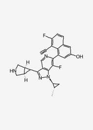 C#Cc1c(F)ccc2cc(O)cc(-c3ncc4c(C5[C@H]6CNC[C@@H]56)nn([C@H]5C[C@@H]5C)c4c3F)c12